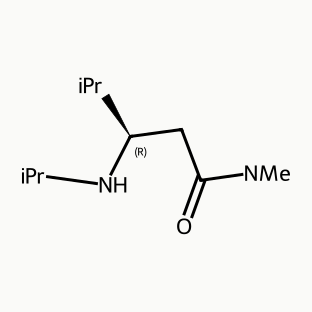 CNC(=O)C[C@@H](NC(C)C)C(C)C